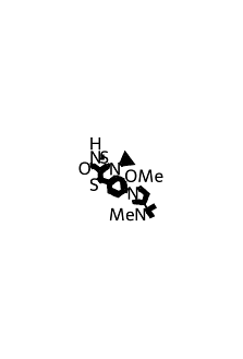 CNC(C)(C)[C@@H]1CCN(c2ccc3c(=S)c4c(=O)[nH]sc4n(C4CC4)c3c2OC)C1